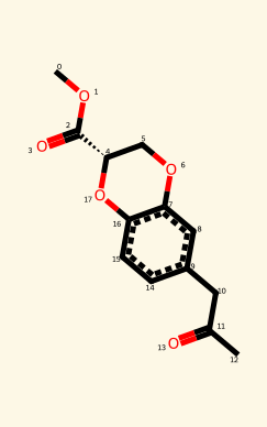 COC(=O)[C@@H]1COc2cc(CC(C)=O)ccc2O1